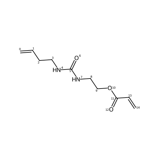 C=CCCNC(=O)NCCOC(=O)C=C